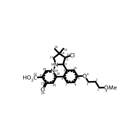 COCCCOc1ccc2c(c1)C1C(Cl)C(C)(C)CN1n1cc(C(=O)O)c(=O)cc1-2